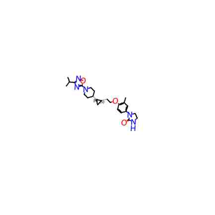 Cc1cc(N2CCNC2=O)ccc1OCC[C@@H]1C[C@@H]1C1CCN(c2nc(C(C)C)no2)CC1